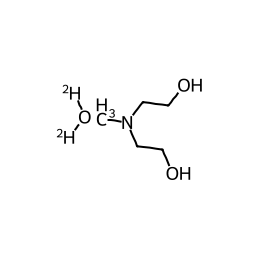 CN(CCO)CCO.[2H]O[2H]